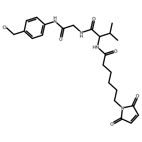 CC(C)C(NC(=O)CCCCCN1C(=O)C=CC1=O)C(=O)NCC(=O)Nc1ccc(CCl)cc1